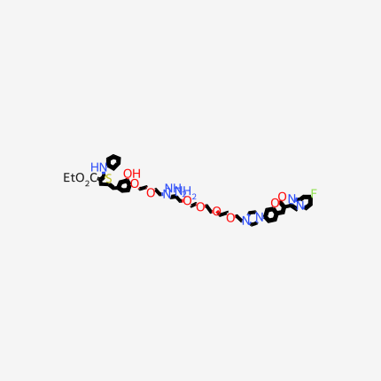 CCOC(=O)C1=C(Nc2ccccc2)S/C(=C\c2ccc(OCCOCCN(N)/C=C(\N)COCCOCCOCCOCCN3CCN(c4ccc5cc(-c6cn7ccc(F)cc7n6)c(=O)oc5c4)CC3)c(O)c2)C1